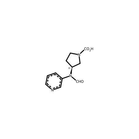 O=CN(c1cccnc1)[C@H]1CCN(C(=O)O)C1